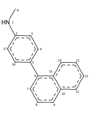 CNc1ccc(-c2cccc3ccccc23)cc1